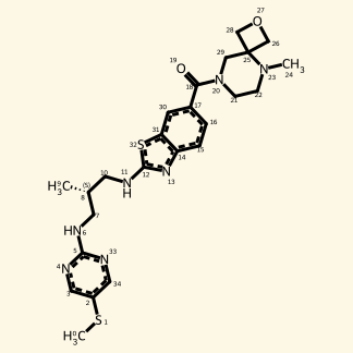 CSc1cnc(NC[C@H](C)CNc2nc3ccc(C(=O)N4CCN(C)C5(COC5)C4)cc3s2)nc1